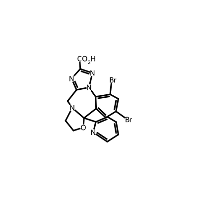 O=C(O)c1nc2n(n1)-c1c(Br)cc(Br)cc1C1(c3ccccn3)OCCN1C2